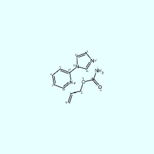 C=CCOC(N)=O.c1ccc(-n2ccnc2)nc1